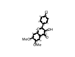 COc1cc2oc(-c3ccc(Cl)cc3)c(O)c(=O)c2cc1OC